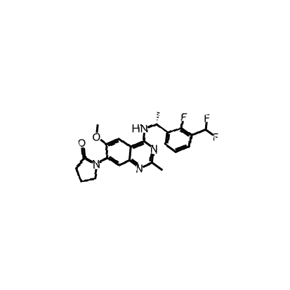 COc1cc2c(N[C@H](C)c3cccc(C(F)F)c3F)nc(C)nc2cc1N1CCCC1=O